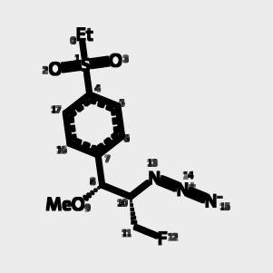 CCS(=O)(=O)c1ccc([C@@H](OC)[C@@H](CF)N=[N+]=[N-])cc1